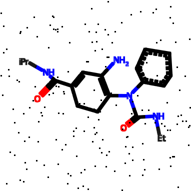 CCNC(=O)N(C1=C(N)C=C(C(=O)NC(C)C)C[CH]1)c1ccccc1